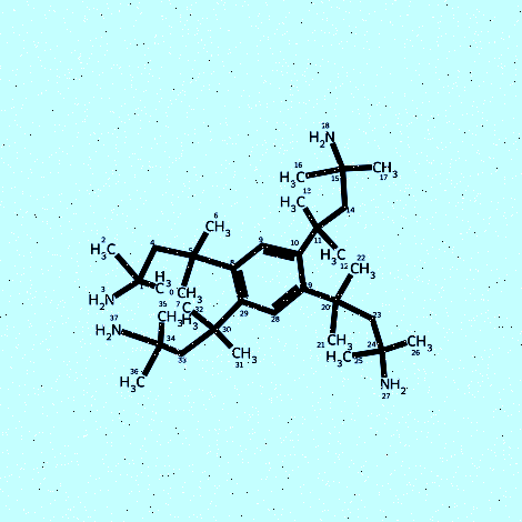 CC(C)(N)CC(C)(C)c1cc(C(C)(C)CC(C)(C)N)c(C(C)(C)CC(C)(C)N)cc1C(C)(C)CC(C)(C)N